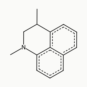 CC1CN(C)c2cccc3cccc1c23